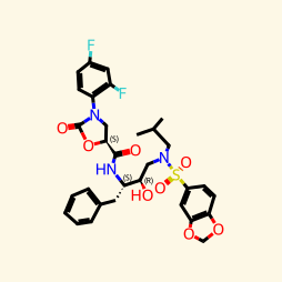 CC(C)CN(C[C@@H](O)[C@H](Cc1ccccc1)NC(=O)[C@@H]1CN(c2ccc(F)cc2F)C(=O)O1)S(=O)(=O)c1ccc2c(c1)OCO2